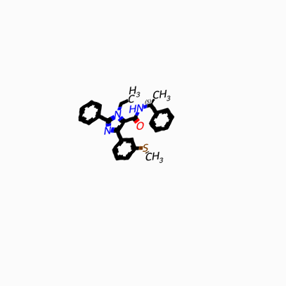 CCn1c(-c2ccccc2)nc(-c2cccc(SC)c2)c1C(=O)N[C@@H](C)c1ccccc1